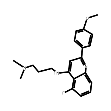 COc1ccc(-c2cc(NCCCN(C)C)c3c(F)cccc3n2)cc1